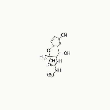 CC(C)(C)NC(=O)NC1C(O)c2cc(C#N)ccc2OC1(C)C